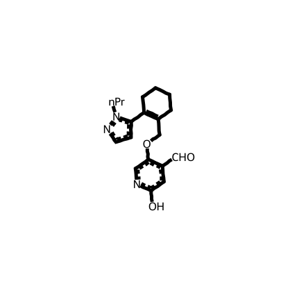 CCCn1nccc1C1=C(COc2cnc(O)cc2C=O)CCCC1